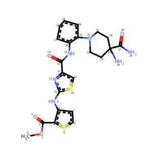 COC(=O)c1sccc1Nc1nc(C(=O)Nc2ccccc2N2CCC(N)(C(N)=O)CC2)cs1